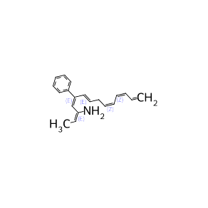 C=C/C=C\C=C/C/C=C/C(=C\C(N)=C/C)c1ccccc1